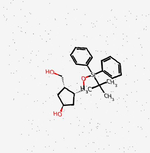 CC(C)(C)[Si](OC[C@@H]1C[C@@H](O)C[C@@H]1CO)(c1ccccc1)c1ccccc1